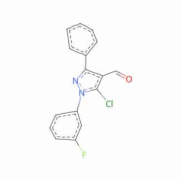 O=Cc1c(-c2ccccc2)nn(-c2cccc(F)c2)c1Cl